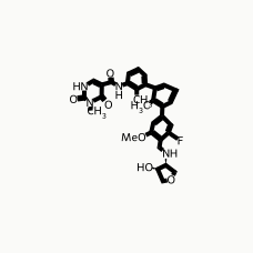 COc1cc(-c2cccc(-c3cccc(NC(=O)c4c[nH]c(=O)n(C)c4=O)c3C)c2C)cc(F)c1CN[C@@H]1COC[C@@H]1O